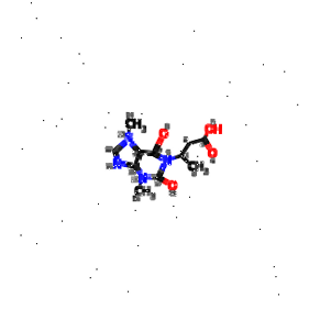 CC(CC(=O)O)n1c(=O)c2c(ncn2C)n(C)c1=O